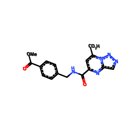 COC(=O)c1ccc(CNC(=O)c2cc(C(=O)O)n3nncc3n2)cc1